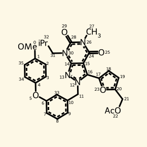 COc1ccc(Oc2cccc(Cn3nc4c(c3-c3ccc(COC(C)=O)o3)c(=O)n(C)c(=O)n4CC(C)C)c2)cc1